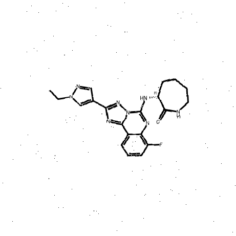 CCn1cc(-c2nc3c4cccc(F)c4nc(N[C@@H]4CCCCNC4=O)n3n2)cn1